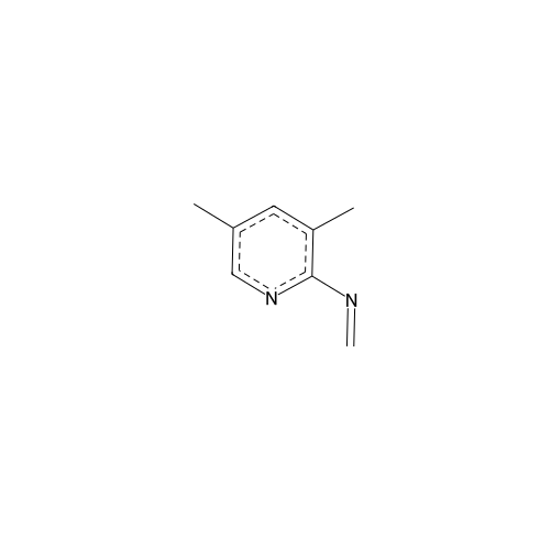 C=Nc1ncc(C)cc1C